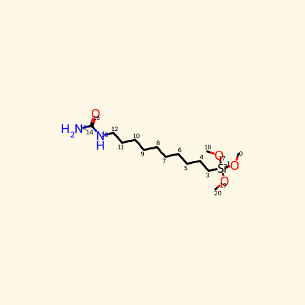 CO[Si](CCCCCCCCCCNC(N)=O)(OC)OC